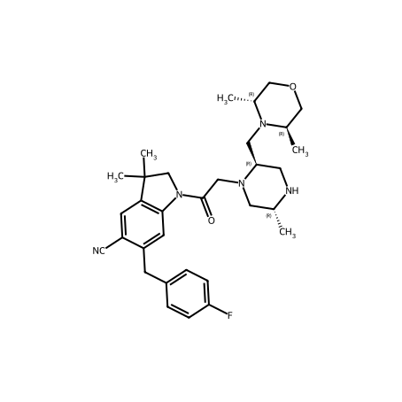 C[C@@H]1CN(CC(=O)N2CC(C)(C)c3cc(C#N)c(Cc4ccc(F)cc4)cc32)[C@@H](CN2[C@H](C)COC[C@H]2C)CN1